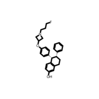 Oc1ccc2c(c1)CC[C@@H](c1ccccc1)[C@H]2c1ccc(OC2CN(CCCF)C2)cc1